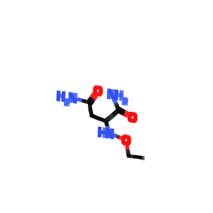 CCONC(CC(N)=O)C(N)=O